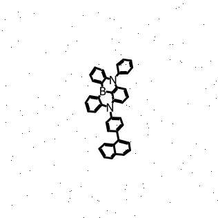 c1ccc(N2c3ccccc3B3c4ccccc4N(c4ccc(-c5cccc6ccccc56)cc4)c4cccc2c43)cc1